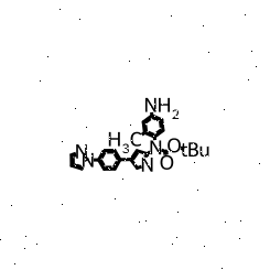 Cc1cc(N)ccc1N(C(=O)OC(C)(C)C)C1=NCC(c2ccc(-n3cccn3)cc2)=C1